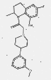 C=C(CN1CCC(c2cccc(OC)c2)CC1)N1c2c(N)cc(F)cc2CCC1C